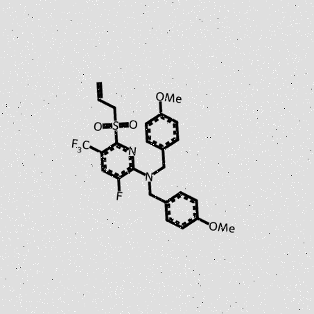 C=CCS(=O)(=O)c1nc(N(Cc2ccc(OC)cc2)Cc2ccc(OC)cc2)c(F)cc1C(F)(F)F